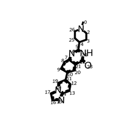 CN1CCC(c2nc3ccc(-c4ccc5nccn5c4)cc3c(=O)[nH]2)CC1